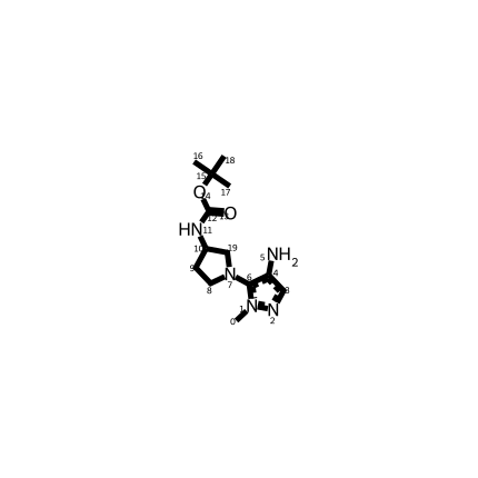 Cn1ncc(N)c1N1CCC(NC(=O)OC(C)(C)C)C1